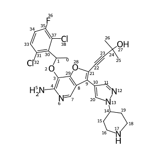 CC(Oc1c(N)ncc2c(-c3cnn(C4CCNCC4)c3)c(C#CC(C)(C)O)oc12)c1c(Cl)ccc(F)c1Cl